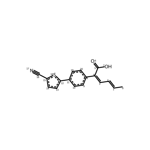 CC=CC=C(C(=O)O)c1ccc(-c2ccc(C#N)s2)cc1